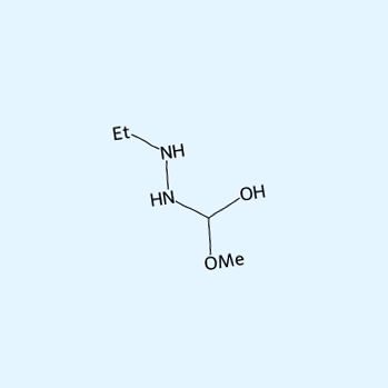 CCNNC(O)OC